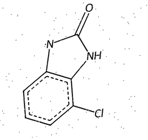 O=C1[N]c2cccc(Cl)c2N1